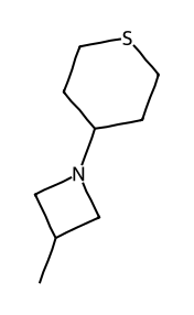 CC1CN(C2CCSCC2)C1